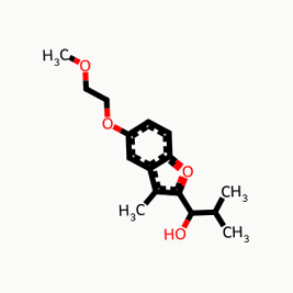 COCCOc1ccc2oc(C(O)C(C)C)c(C)c2c1